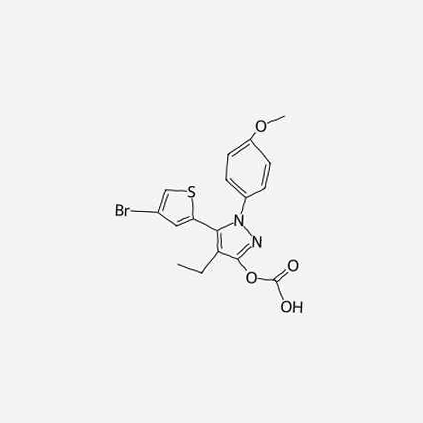 CCc1c(OC(=O)O)nn(-c2ccc(OC)cc2)c1-c1cc(Br)cs1